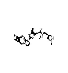 Cc1nc(N2CCN(CC3CC3(F)F)C2=O)sc1C(=O)NCc1cnn(C)c1